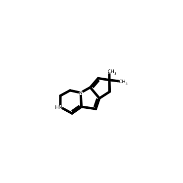 CC1(C)C=c2c(cc3n2CCNC=3)C1